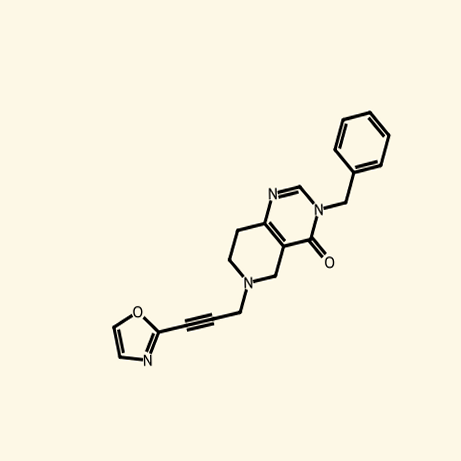 O=c1c2c(ncn1Cc1ccccc1)CCN(CC#Cc1ncco1)C2